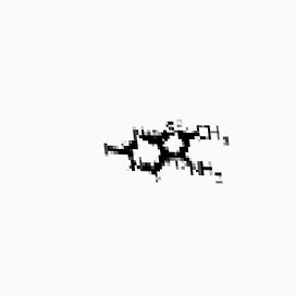 Cc1sc2nc(I)ncc2c1N